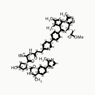 COC(=O)C[C@@H]1N=C(c2ccc(-c3ccc(CCC(=O)NC(C(=O)N4C[C@H](O)C[C@H]4C(=O)N[C@@H](C)c4ccc(-c5scnc5C)cc4)C(C)(C)C)nc3)cc2)c2c(sc(C)c2C)-n2c(C)nnc21